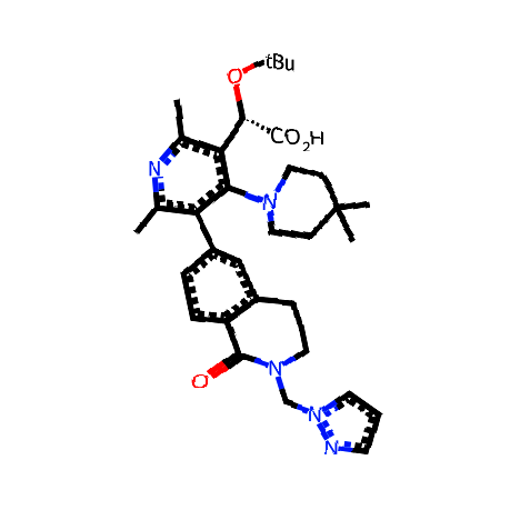 Cc1nc(C)c([C@H](OC(C)(C)C)C(=O)O)c(N2CCC(C)(C)CC2)c1-c1ccc2c(c1)CCN(Cn1cccn1)C2=O